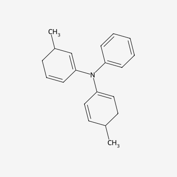 CC1C=CC(N(C2=CC(C)CC=C2)c2ccccc2)=CC1